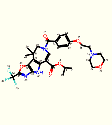 CC(C)OC(=O)C1=CN(C(=O)c2ccc(OCCN3CCOCC3)cc2)CC(C)(C)c2c1[nH]c1nc(C(F)(F)F)oc21